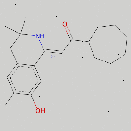 Cc1cc2c(cc1O)/C(=C/C(=O)C1CCCCCC1)NC(C)(C)C2